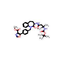 COC(=O)c1ncoc1-c1ccc(CN2C(=O)[C@H](NC(=O)CC(C)(C)NC(=O)OC(C)(C)C)CCc3ccccc32)cc1